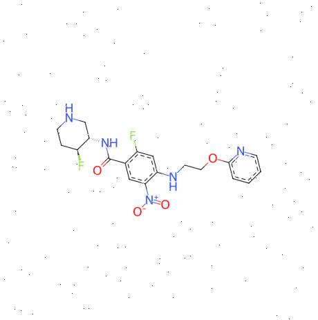 O=C(N[C@H]1CNCC[C@@H]1F)c1cc([N+](=O)[O-])c(NCCOc2ccccn2)cc1F